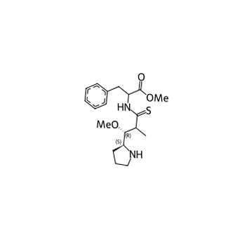 COC(=O)C(Cc1ccccc1)NC(=S)C(C)[C@@H](OC)[C@@H]1CCCN1